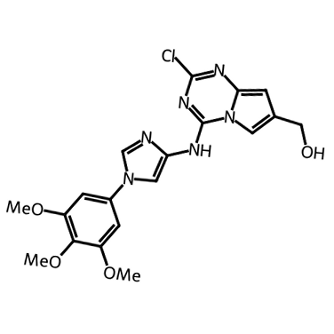 COc1cc(-n2cnc(Nc3nc(Cl)nc4cc(CO)cn34)c2)cc(OC)c1OC